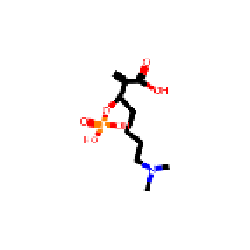 C=C(C(=O)O)C(CCCCN(C)C)OP(=O)(O)O